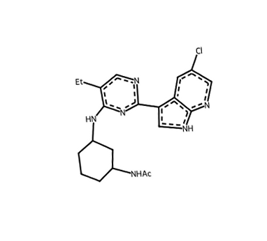 CCc1cnc(-c2c[nH]c3ncc(Cl)cc23)nc1NC1CCCC(NC(C)=O)C1